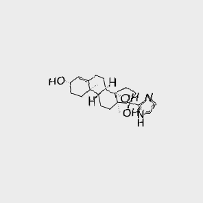 C[C@]12CC[C@H]3[C@@H](CCC4=C[C@@H](O)CC[C@@]43C)[C@@]1(O)CC[C@]2(O)c1ncc[nH]1